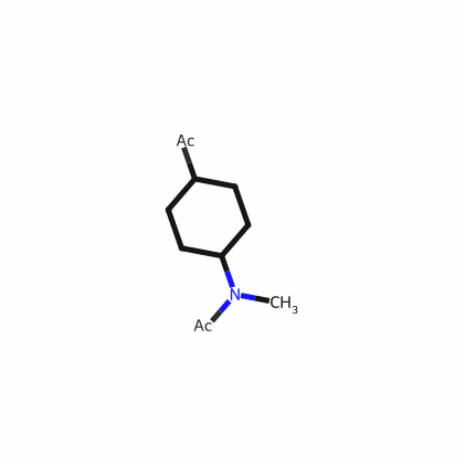 CC(=O)C1CCC(N(C)C(C)=O)CC1